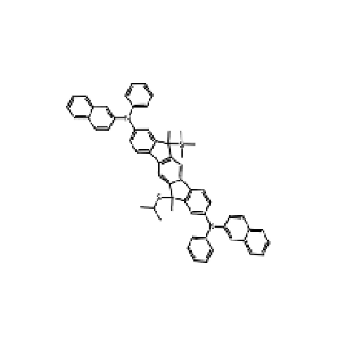 CC(C)SC1(C)c2cc(N(c3ccccc3)c3ccc4ccccc4c3)ccc2-c2cc3c(cc21)-c1ccc(N(c2ccccc2)c2ccc4ccccc4c2)cc1C3(C)[Si](C)(C)C